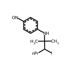 CCCC(I)C(C)(C)Nc1ccc(N=O)cc1